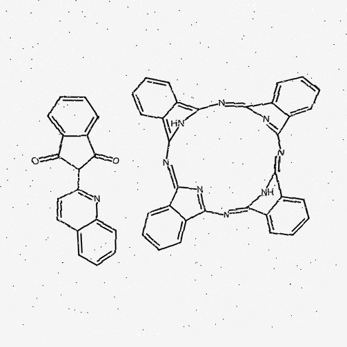 O=C1c2ccccc2C(=O)C1c1ccc2ccccc2n1.c1ccc2c(c1)-c1nc-2nc2[nH]c(nc3nc(nc4[nH]c(n1)c1ccccc41)-c1ccccc1-3)c1ccccc21